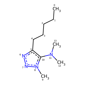 CCCCCc1nnn(C)c1N(C)C